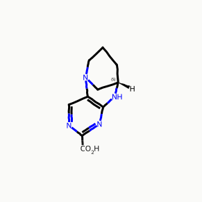 O=C(O)c1ncc2c(n1)N[C@H]1CCCN2C1